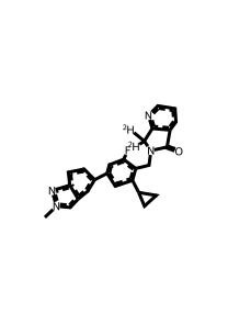 [2H]C1([2H])c2ncccc2C(=O)N1Cc1c(F)cc(-c2ccc3nn(C)cc3c2)cc1C1CC1